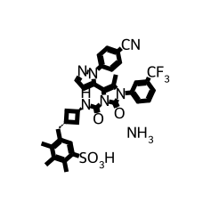 Cc1c(C[C@H]2C[C@H](NC(=O)n3c(-c4ccnn4-c4ccc(C#N)cc4)c(C)n(-c4cccc(C(F)(F)F)c4)c3=O)C2)cc(S(=O)(=O)O)c(C)c1C.N